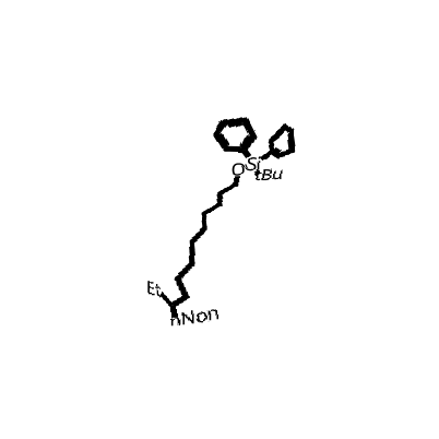 CCCCCCCCCC(CC)CCCCCCCCCO[Si](c1ccccc1)(c1ccccc1)C(C)(C)C